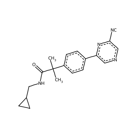 [C-]#[N+]c1cncc(-c2ccc(C(C)(C)C(=O)NCC3CC3)cc2)n1